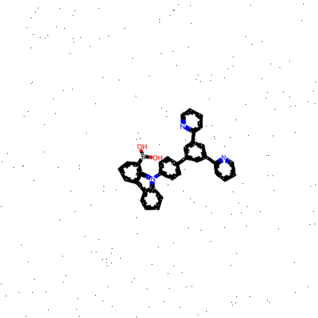 OB(O)c1cccc2c3ccccc3n(-c3ccc(-c4cc(-c5ccccn5)cc(-c5ccccn5)c4)cc3)c12